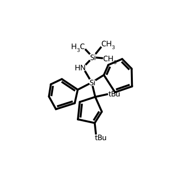 CC(C)(C)C1=CC(C(C)(C)C)([Si](N[Si](C)(C)C)(c2ccccc2)c2ccccc2)C=C1